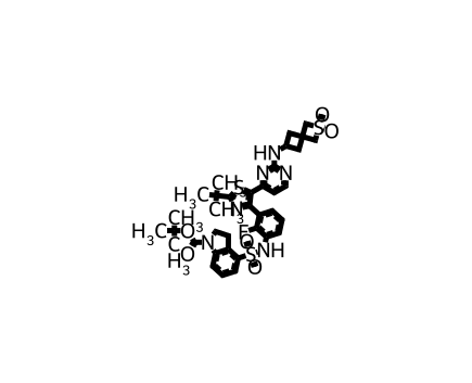 CC(C)(C)OC(=O)N1CCc2c1cccc2S(=O)(=O)Nc1cccc(-c2nc(C(C)(C)C)sc2-c2ccnc(NC3CC4(C3)CS(=O)(=O)C4)n2)c1F